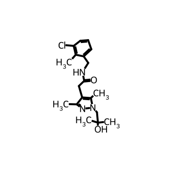 Cc1nn(CC(C)(C)O)c(C)c1CC(=O)NCc1cccc(Cl)c1C